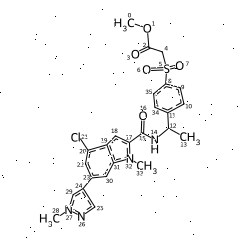 COC(=O)CS(=O)(=O)c1ccc(C(C)NC(=O)c2cc3c(Cl)cc(-c4cnn(C)c4)cc3n2C)cc1